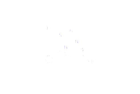 CCCN1CCNCCN(CC#COCC)CCN(C(=O)OCc2ccccc2)CC1